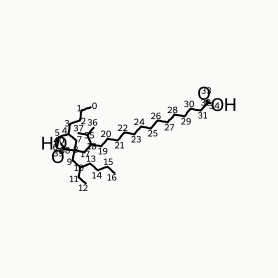 CCCCC(CC)CC(CC(CC)CCCC)(CC(CCCCCCCCCCCCCC(=O)O)C(C)C)C(=O)O